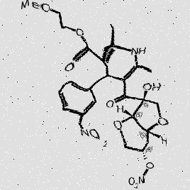 COCCOC(=O)C1=C(C)NC(C)=C(C(=O)[C@]2(O)CO[C@@H]3[C@H](O[N+](=O)[O-])CO[C@@H]32)C1c1cccc([N+](=O)[O-])c1